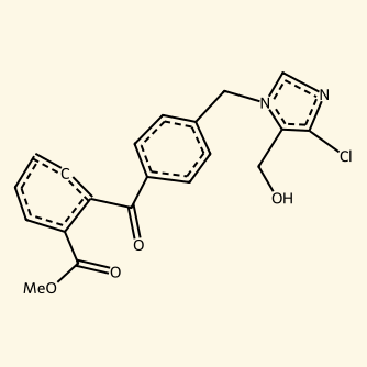 COC(=O)c1ccccc1C(=O)c1ccc(Cn2cnc(Cl)c2CO)cc1